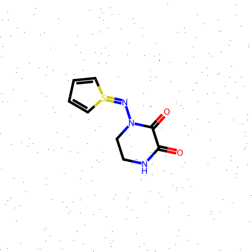 O=C1NCCN(N=S2C=CC=C2)C1=O